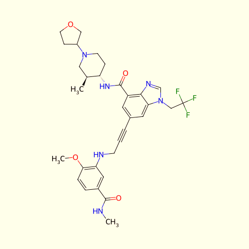 CNC(=O)c1ccc(OC)c(NCC#Cc2cc(C(=O)N[C@H]3CCN(C4CCOC4)C[C@@H]3C)c3ncn(CC(F)(F)F)c3c2)c1